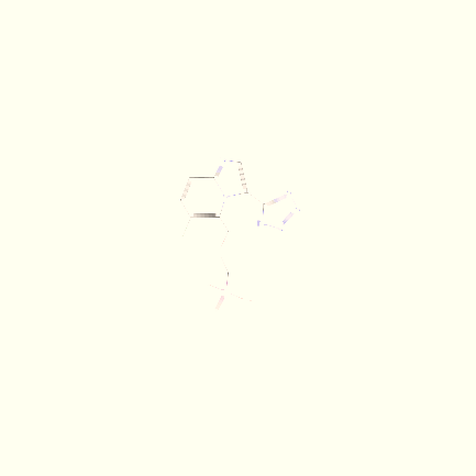 O=P(O)(O)COCc1c(Cl)ccc2ncc(-c3nnn[nH]3)n12